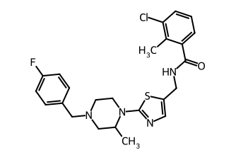 Cc1c(Cl)cccc1C(=O)NCc1cnc(N2CCN(Cc3ccc(F)cc3)CC2C)s1